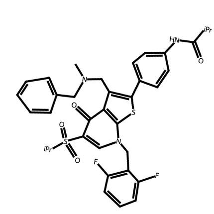 CC(C)C(=O)Nc1ccc(-c2sc3c(c2CN(C)Cc2ccccc2)c(=O)c(S(=O)(=O)C(C)C)cn3Cc2c(F)cccc2F)cc1